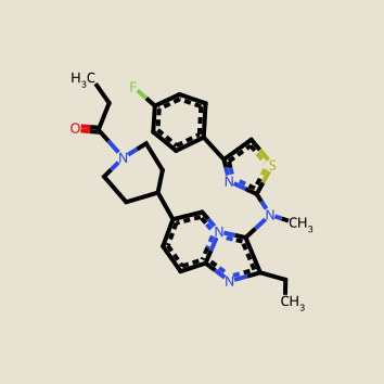 CCC(=O)N1CCC(c2ccc3nc(CC)c(N(C)c4nc(-c5ccc(F)cc5)cs4)n3c2)CC1